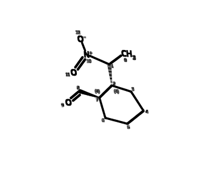 CC([C@@H]1CCCC[C@H]1C=O)[N+](=O)[O-]